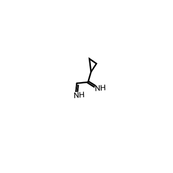 N=CC(=N)C1CC1